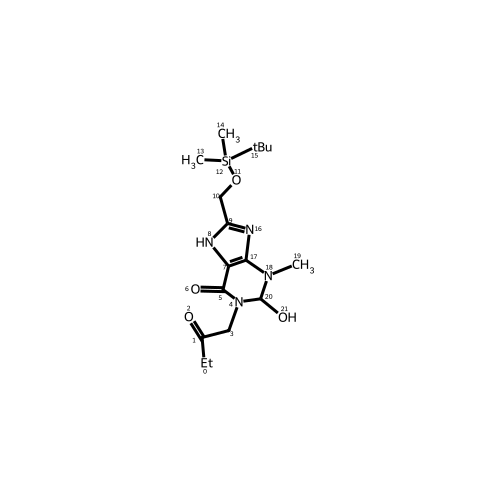 CCC(=O)CN1C(=O)c2[nH]c(CO[Si](C)(C)C(C)(C)C)nc2N(C)C1O